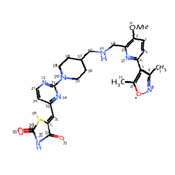 COc1ccc(-c2c(C)noc2C)nc1CNCC1CCN(c2nccc(/C=C3\SC(=O)NC3=O)n2)CC1